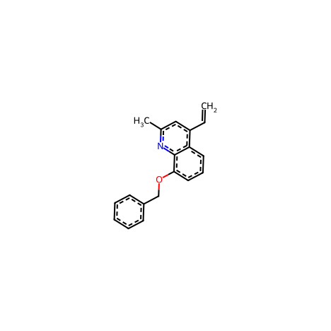 C=Cc1cc(C)nc2c(OCc3ccccc3)cccc12